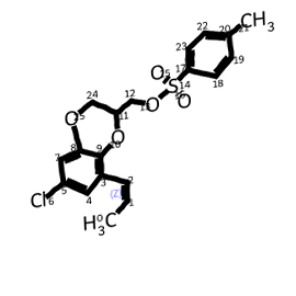 C/C=C\c1cc(Cl)cc2c1OC(COS(=O)(=O)c1ccc(C)cc1)CO2